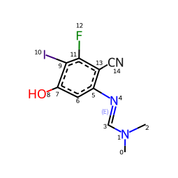 CN(C)/C=N/c1cc(O)c(I)c(F)c1C#N